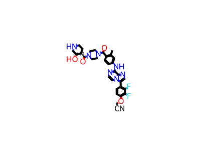 Cc1cc(Nc2nccn3c(-c4ccc(OCC#N)c(F)c4F)cnc23)ccc1C(=O)N1CCN(C(=O)[C@@H]2CCNC[C@@H]2O)CC1